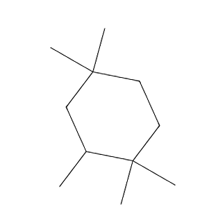 CC1CC(C)(C)CCC1(C)C